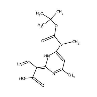 CC1=N/C(=C(/C=N)C(=O)O)NC(N(C)C(=O)OC(C)(C)C)=C1